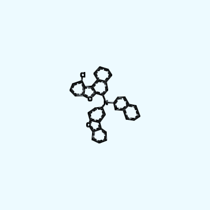 Clc1cccc2oc3c(N(c4ccc5ccccc5c4)c4ccc5oc6ccccc6c5c4)cc4ccccc4c3c12